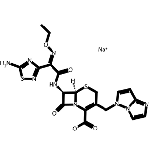 CCO/N=C(/C(=O)N[C@@H]1C(=O)N2C(C(=O)[O-])=C(Cn3ccc4nccn43)CS[C@H]12)c1nsc(N)n1.[Na+]